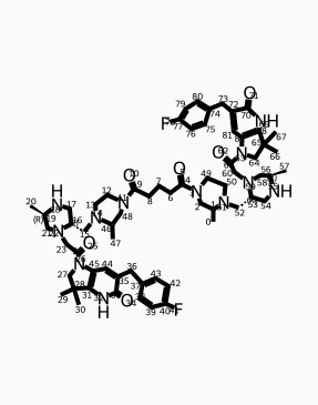 CC1CN(C(=O)CCCC(=O)N2CCN(C[C@H]3CN[C@H](C)CN3CC(=O)N3CC(C)(C)c4[nH]c(=O)c(Cc5ccc(F)cc5)cc43)C(C)C2)CCN1C[C@H]1CN[C@H](C)CN1CC(=O)N1CC(C)(C)c2[nH]c(=O)c(Cc3ccc(F)cc3)cc21